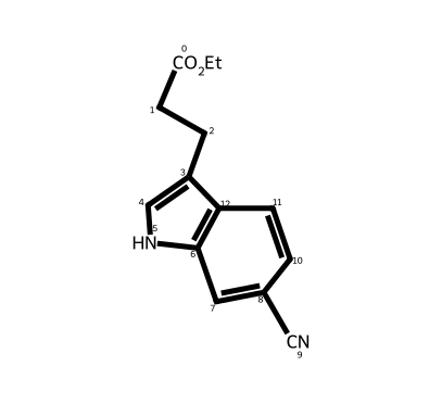 CCOC(=O)CCc1c[nH]c2cc(C#N)ccc12